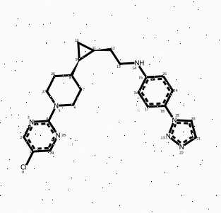 Clc1cnc(N2CCC([C@H]3C[C@H]3CCNc3ccc(-n4ccnn4)cc3)CC2)nc1